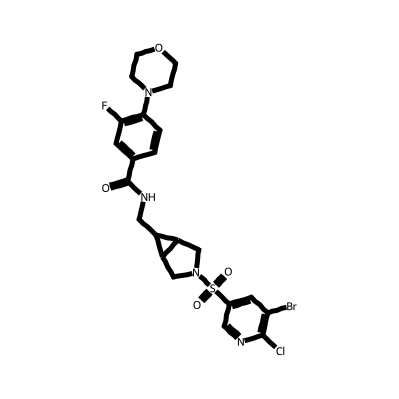 O=C(NCC1C2CN(S(=O)(=O)c3cnc(Cl)c(Br)c3)CC12)c1ccc(N2CCOCC2)c(F)c1